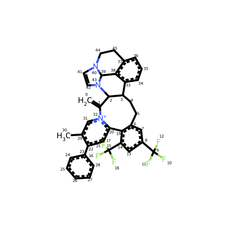 C=C1C2C(CCc3cc(C(F)(F)F)cc(C(F)(F)F)c3-c3cc(-c4ccccc4)c(C)c[n+]31)c1cccc3c1C1N(C=CN21)CC3